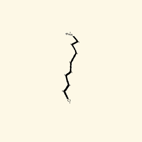 CCCCCCCCCCCCCCl